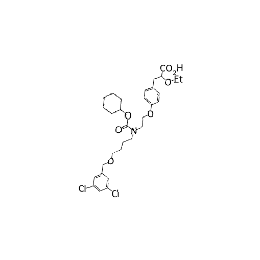 CCOC(Cc1ccc(OCCN(CCCCOCc2cc(Cl)cc(Cl)c2)C(=O)OC2CCCCC2)cc1)C(=O)O